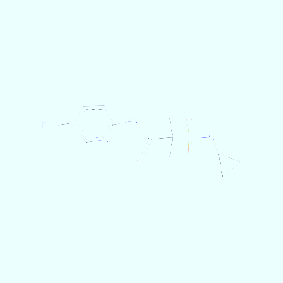 CC(C)(C(=O)Nc1ccc(C(F)(F)F)cn1)S(=O)(=O)NC1CC1